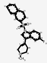 CN1CC=C(c2cn(S(=O)(=O)c3ccc4ccccc4c3)c3ccc(F)cc23)CC1